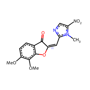 COc1ccc2c(c1OC)O/C(=C/c1ncc([N+](=O)[O-])n1C)C2=O